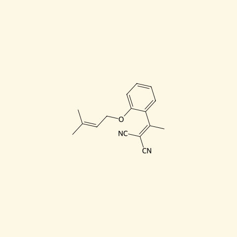 CC(C)=CCOc1ccccc1C(C)=C(C#N)C#N